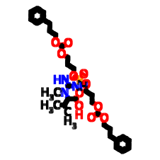 CC(C)C(C(=O)O)N(C)C(=N)NP(=O)(OCCCOC(=O)OCCCc1ccccc1)OCCCOC(=O)OCCCc1ccccc1